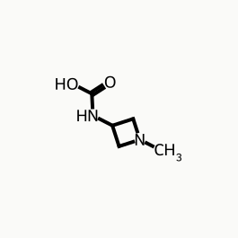 CN1CC(NC(=O)O)C1